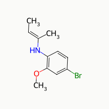 C/C=C(\C)Nc1ccc(Br)cc1OC